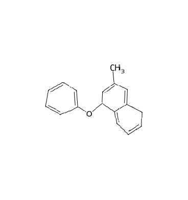 CC1=CC(Oc2ccccc2)C2=CC=CCC2=C1